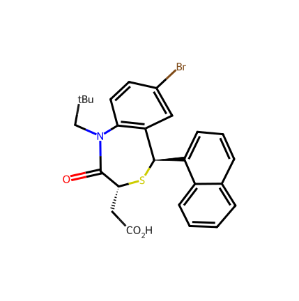 CC(C)(C)CN1C(=O)[C@@H](CC(=O)O)S[C@H](c2cccc3ccccc23)c2cc(Br)ccc21